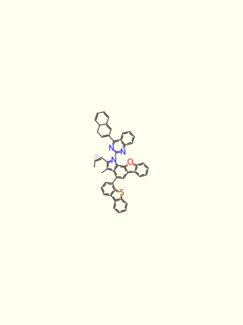 C/C=C\c1c(C)c2c(-c3cccc4c3sc3ccccc34)cc3c4ccccc4oc3c2n1-c1nc(C2=CCC3C=CC=CC3=C2)c2ccccc2n1